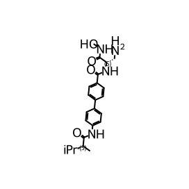 CC(C)[C@H](C)C(=O)Nc1ccc(-c2ccc(C(=O)N[C@@H](CN)C(=O)NO)cc2)cc1